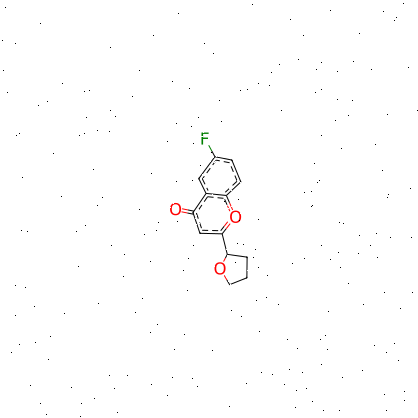 O=c1cc(C2CCCO2)oc2ccc(F)cc12